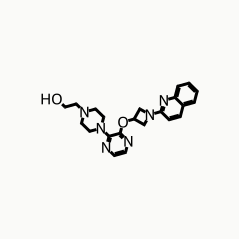 OCCN1CCN(c2nccnc2OC2CN(c3ccc4ccccc4n3)C2)CC1